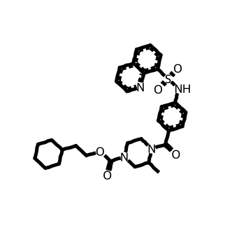 CC1CN(C(=O)OCCC2CCCCC2)CCN1C(=O)c1ccc(NS(=O)(=O)c2cccc3cccnc23)cc1